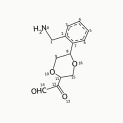 NCc1ccccc1C1COC(C(=O)C=O)CO1